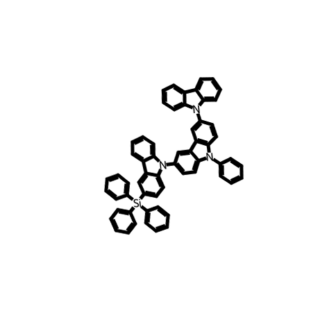 c1ccc(-n2c3ccc(-n4c5ccccc5c5ccccc54)cc3c3cc(-n4c5ccccc5c5cc([Si](c6ccccc6)(c6ccccc6)c6ccccc6)ccc54)ccc32)cc1